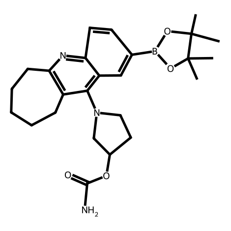 CC1(C)OB(c2ccc3nc4c(c(N5CCC(OC(N)=O)C5)c3c2)CCCCC4)OC1(C)C